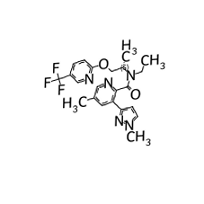 CCN(C(=O)c1ncc(C)cc1-c1ccn(C)n1)[C@@H](C)COc1ccc(C(F)(F)F)cn1